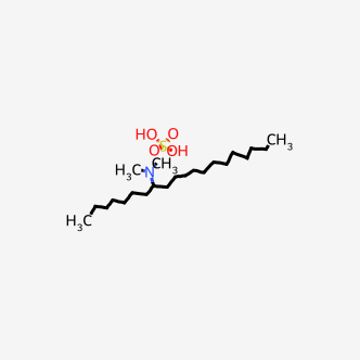 CCCCCCCCCCCCC(CCCCCCC)N(C)C.O=S(=O)(O)O